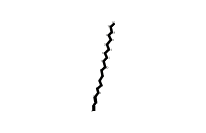 C=CC=CCCCCCCCCCCCCCCCCC